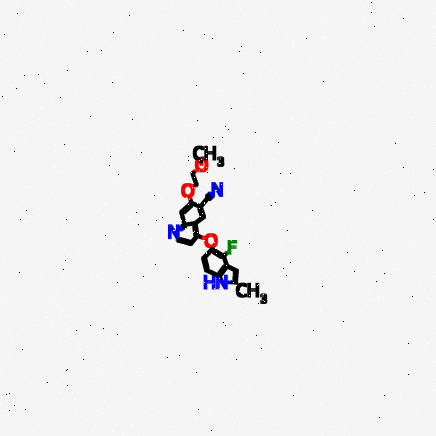 COCCOc1cc2nccc(Oc3ccc4[nH]c(C)cc4c3F)c2cc1C#N